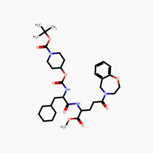 COC(=O)C(CCC(=O)N1CCOc2ccccc2C1)NC(=O)C(CC1CCCCC1)NC(=O)OC1CCN(C(=O)OC(C)(C)C)CC1